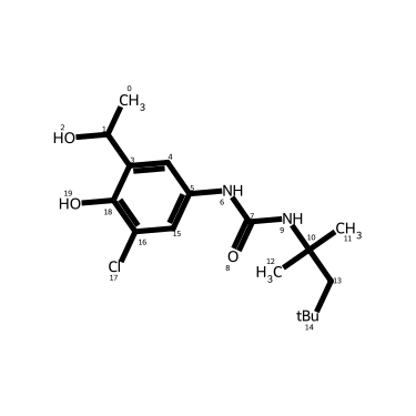 CC(O)c1cc(NC(=O)NC(C)(C)CC(C)(C)C)cc(Cl)c1O